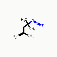 C=C(C)CC(C)(C)N=[N+]=[N-]